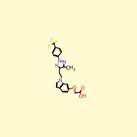 Cc1nn(-c2ccc(C(F)(F)F)cc2)nc1CCn1ccc2ccc(OCC(=O)O)cc21